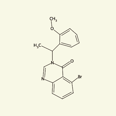 COc1ccccc1C(C)n1cnc2cccc(Br)c2c1=O